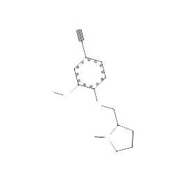 COc1cc(C#N)ccc1OCC1CCCN1C